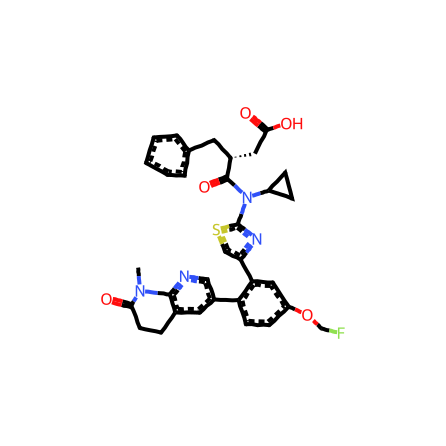 CN1C(=O)CCc2cc(-c3ccc(OCF)cc3-c3csc(N(C(=O)[C@@H](CC(=O)O)Cc4ccccc4)C4CC4)n3)cnc21